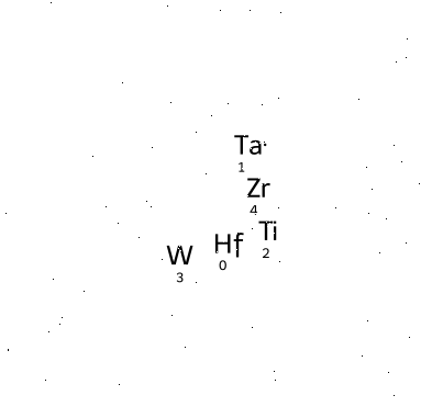 [Hf].[Ta].[Ti].[W].[Zr]